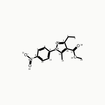 CCc1nn(-c2ccc([N+](=O)[O-])cc2)c(C)c1C(=O)OC